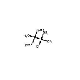 BC(C)(CC)C(C)(CCCCCC)CCCCCCC